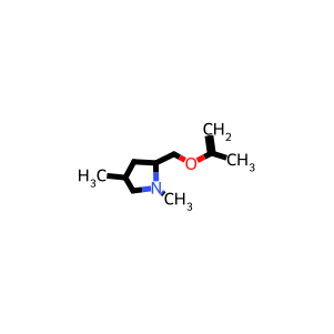 C=C(C)OCC1CC(C)CN1C